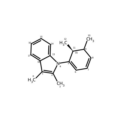 Cc1c(C)n(C2=CC=CC(C)[C@@H]2C)c2ccccc12